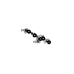 O=C(Nc1ccc2c(O)c(N=Nc3ccc(N=Nc4ccc(S(=O)(=O)O)cc4)cc3)c(S(=O)(=O)O)cc2c1)c1ccccc1